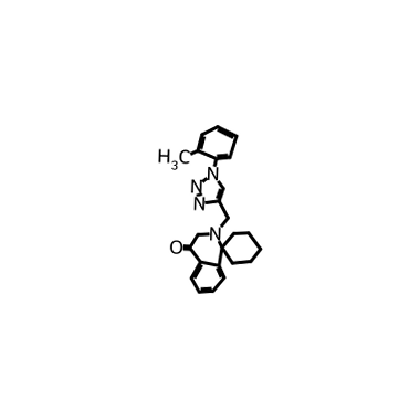 Cc1ccccc1-n1cc(CN2CC(=O)c3ccccc3C23CCCCC3)nn1